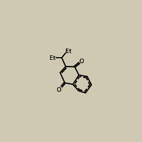 CCC(CC)C1=CC(=O)c2ccccc2C1=O